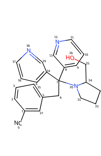 N#Cc1cccc(CC(c2cccnc2)(c2cccnc2)N2CCCC2CO)c1